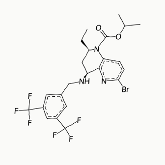 CC[C@@H]1C[C@H](NCc2cc(C(F)(F)F)cc(C(F)(F)F)c2)c2nc(Br)ccc2N1C(=O)OC(C)C